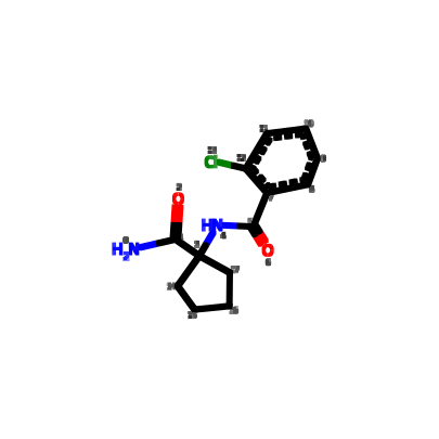 NC(=O)C1(NC(=O)c2ccccc2Cl)CCCC1